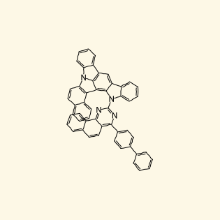 c1ccc(-c2ccc(-c3nc(-n4c5ccccc5c5cc6c7ccccc7n7c8ccc9ccccc9c8c(c54)c67)nc4c3ccc3ccccc34)cc2)cc1